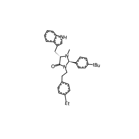 CCc1ccc(CCN2C(=O)[C@H](Cc3c[nH]c4ccccc34)N(C)[C@H]2c2ccc(C(C)(C)C)cc2)cc1